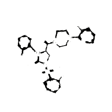 O=C(C1CN(S(=O)(=O)c2ccccc2Cl)C(=O)N1c1ccccc1Cl)N1CCN(c2ncccc2C(F)(F)F)CC1